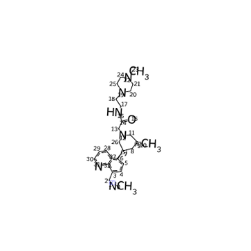 C/N=C\c1ccc([C@@H]2C[C@@H](C)CN(CC(=O)NCCN3CCN(C)CC3)C2)c2cccnc12